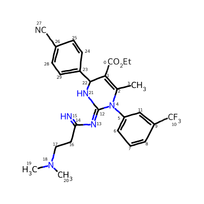 CCOC(=O)C1=C(C)N(c2cccc(C(F)(F)F)c2)/C(=N/C(=N)CCN(C)C)NC1c1ccc(C#N)cc1